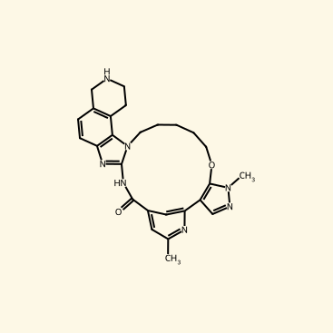 Cc1cc2cc(n1)-c1cnn(C)c1OCCCCCn1c(nc3ccc4c(c31)CCNC4)NC2=O